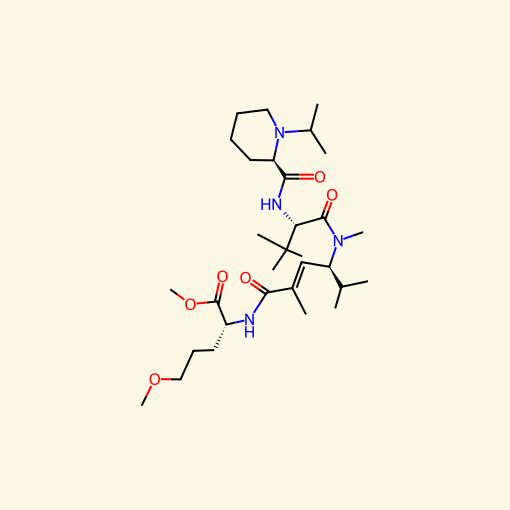 COCCC[C@@H](NC(=O)/C(C)=C/[C@H](C(C)C)N(C)C(=O)[C@@H](NC(=O)[C@H]1CCCCN1C(C)C)C(C)(C)C)C(=O)OC